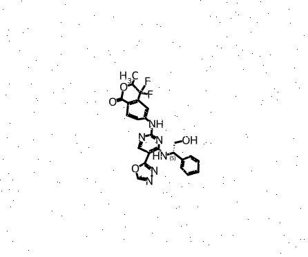 CC1OC(=O)c2ccc(Nc3ncc(-c4nnco4)c(N[C@H](CO)c4ccccc4)n3)cc2C1(F)F